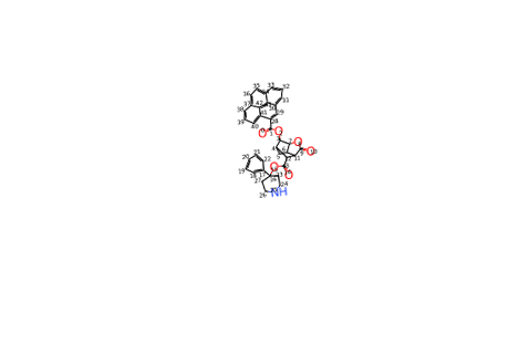 O=C(OC1C2CC3C1OC(=O)C3C2C(=O)OC1(c2ccccc2)CCNCC1)c1cc2cccc3ccc4cccc1c4c32